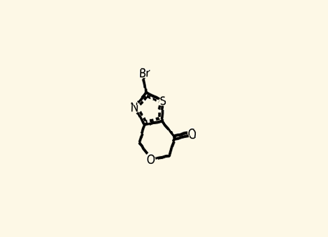 O=C1COCc2nc(Br)sc21